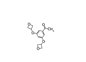 CC(=O)c1cc(OC2COC2)cc(OC2COC2)c1